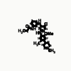 C=CC(=O)Nc1cccc(Nc2nc(Nc3cc(C)c(C4CCN(C)CC4)cc3OC)ncc2Cl)c1